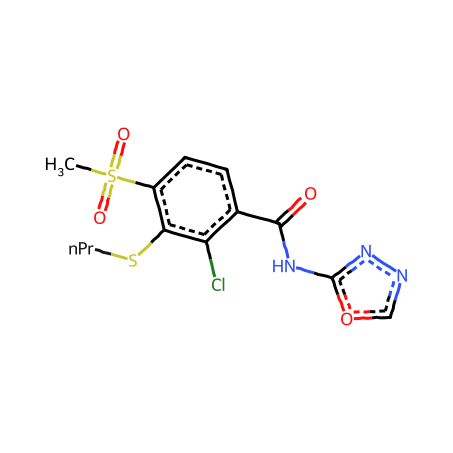 CCCSc1c(S(C)(=O)=O)ccc(C(=O)Nc2nnco2)c1Cl